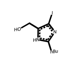 CCCCc1nc(I)c(CO)[nH]1